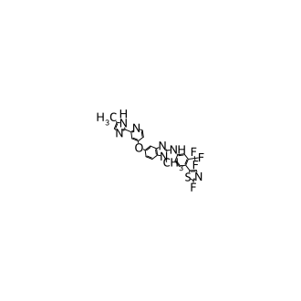 Cc1cnc(-c2cc(Oc3ccc4c(c3)nc(Nc3ccc(-c5cnc(F)s5)c(C(F)(F)F)c3)n4C)ccn2)[nH]1